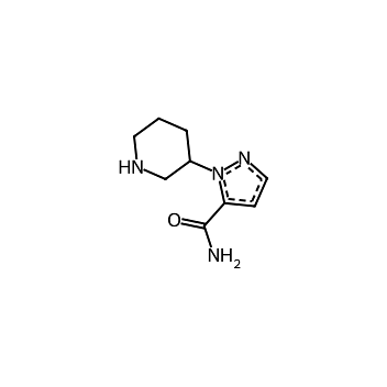 NC(=O)c1ccnn1C1CCCNC1